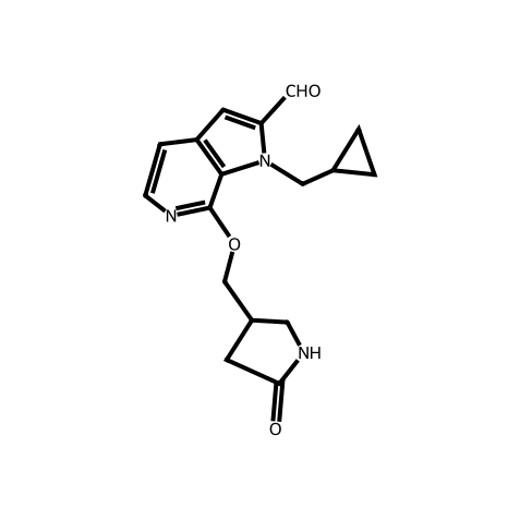 O=Cc1cc2ccnc(OCC3CNC(=O)C3)c2n1CC1CC1